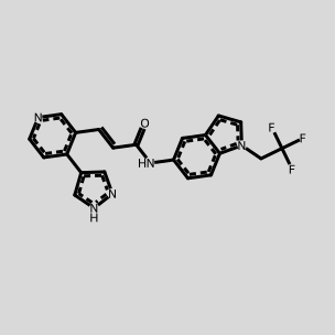 O=C(C=Cc1cnccc1-c1cn[nH]c1)Nc1ccc2c(ccn2CC(F)(F)F)c1